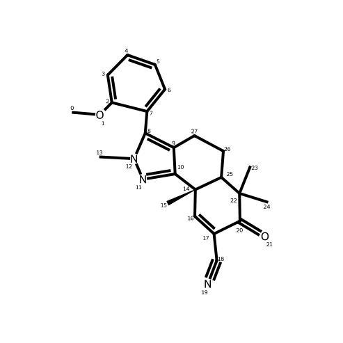 COc1ccccc1-c1c2c(nn1C)[C@@]1(C)C=C(C#N)C(=O)C(C)(C)C1CC2